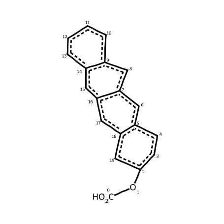 O=C(O)Oc1ccc2cc3cc4ccccc4cc3cc2c1